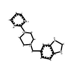 c1cnc(N2CCN(Cc3ccc4c(c3)SCO4)CC2)nc1